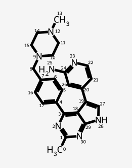 Cc1nc(-c2ccc(CN3CCN(C)CC3)cc2)c2c(-c3ccnc(N)c3)c[nH]c2n1